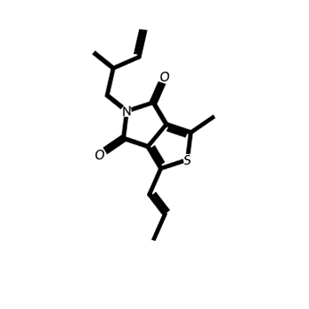 C=CC(C)CN1C(=O)c2c(C)sc(/C=C/C)c2C1=O